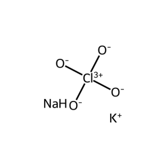 [K+].[NaH].[O-][Cl+3]([O-])([O-])[O-]